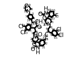 CN(Cc1ccc(N2CCOCC2)cc1)C(=O)C(CCN1CCC2(CC1)OC(=O)Nc1ccc(F)cc12)c1ccc(Cl)c(Cl)c1.O=C1Nc2ccc(F)cc2C2(CCN(CCC(C(=O)O)c3ccc(Cl)c(Cl)c3)CC2)O1